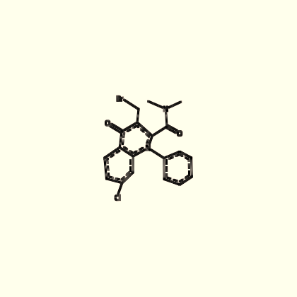 CN(C)C(=O)c1c(CBr)c(=O)c2ccc(Cl)cc2n1-c1ccccc1